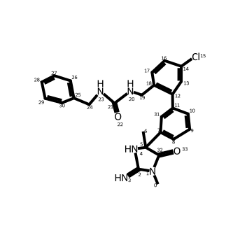 CN1C(=N)NC(C)(c2cccc(-c3cc(Cl)ccc3CNC(=O)NCc3ccccc3)c2)C1=O